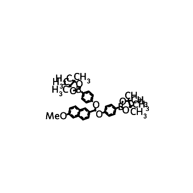 COc1ccc2cc(C(Oc3ccc(B4OC(C)(C)C(C)(C)O4)cc3)Oc3ccc(B4OC(C)(C)C(C)(C)O4)cc3)ccc2c1